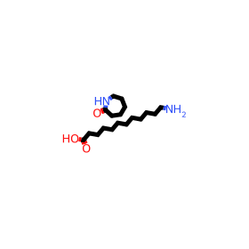 NCCCCCCCCCCCC(=O)O.O=C1CCCCCN1